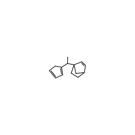 CC(C1=CC=CC1)C12C=CC(CC1)C2